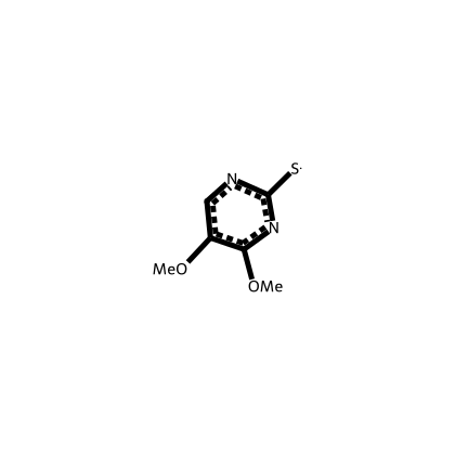 COc1cnc([S])nc1OC